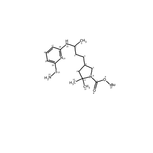 CC(CCC1CN(C(=O)OC(C)(C)C)C(C)(C)C1)Nc1cccc(SN)n1